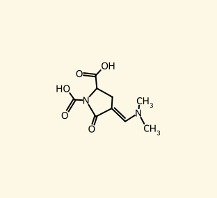 CN(C)/C=C1\CC(C(=O)O)N(C(=O)O)C1=O